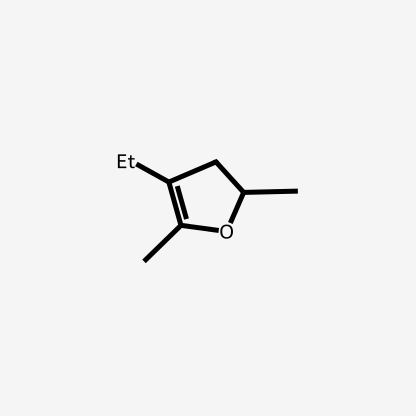 CCC1=C(C)OC(C)C1